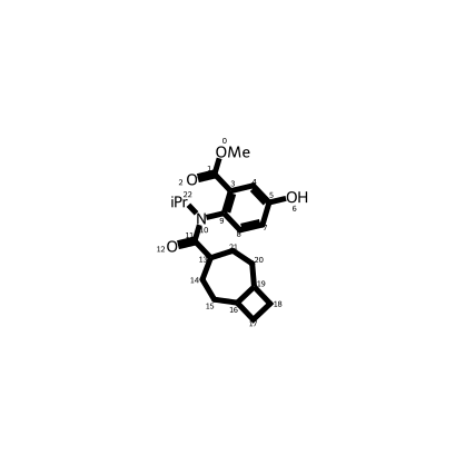 COC(=O)c1cc(O)ccc1N(C(=O)C1CCC2CCC2CC1)C(C)C